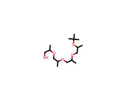 CC(CO)OCC(C)OCC(C)OCC(C)OC(C)(C)C